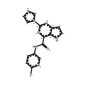 O=C(Nc1ccc(Cl)nc1)c1nc(-n2ccnc2)nc2cc[nH]c12